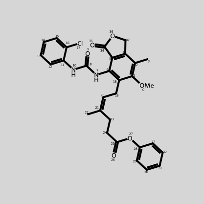 COc1c(C)c2c(c(NC(=O)Nc3ccccc3Cl)c1CC=C(C)CCC(=O)Oc1ccccc1)C(=O)OC2